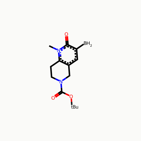 Bc1cc2c(n(C)c1=O)CCN(C(=O)OC(C)(C)C)C2